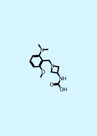 COc1cccc(N(C)C)c1CN1CC(NC(=O)O)C1